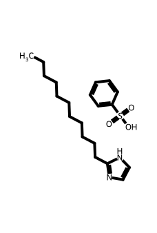 CCCCCCCCCCCc1ncc[nH]1.O=S(=O)(O)c1ccccc1